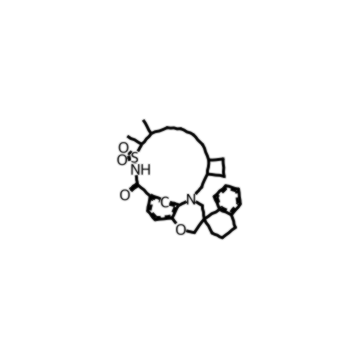 CC1CCCCC2CCC2CN2CC3(CCCc4ccccc43)COc3ccc(cc32)C(=O)NS(=O)(=O)C1C